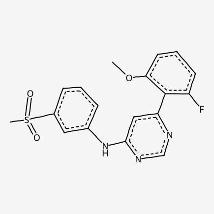 COc1cccc(F)c1-c1cc(Nc2cccc(S(C)(=O)=O)c2)ncn1